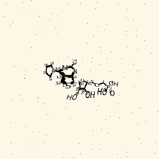 O=P(O)(O)COC[C@H]1O[C@@H](c2scc3c(N4CCCC4)nc(Cl)nc23)[C@H](O)[C@@H]1O